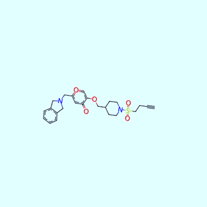 C#CCCS(=O)(=O)N1CCC(COc2coc(CN3Cc4ccccc4C3)cc2=O)CC1